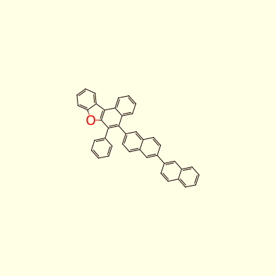 c1ccc(-c2c(-c3ccc4cc(-c5ccc6ccccc6c5)ccc4c3)c3ccccc3c3c2oc2ccccc23)cc1